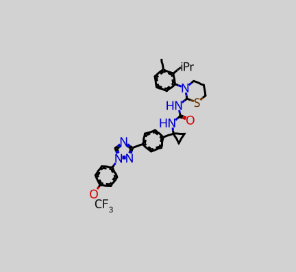 Cc1cccc(N2CCCSC2NC(=O)NC2(c3ccc(-c4ncn(-c5ccc(OC(F)(F)F)cc5)n4)cc3)CC2)c1C(C)C